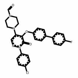 O=CN1CCN(c2cnn(-c3ccc(Cl)cc3)c(=O)c2Oc2ccc(-c3ccc(F)cc3)cc2)CC1